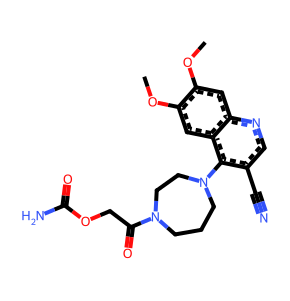 COc1cc2ncc(C#N)c(N3CCCN(C(=O)COC(N)=O)CC3)c2cc1OC